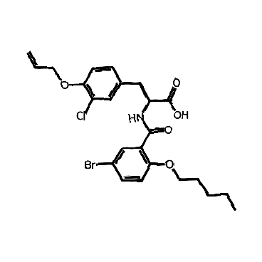 C=CCOc1ccc(CC(NC(=O)c2cc(Br)ccc2OCCCCC)C(=O)O)cc1Cl